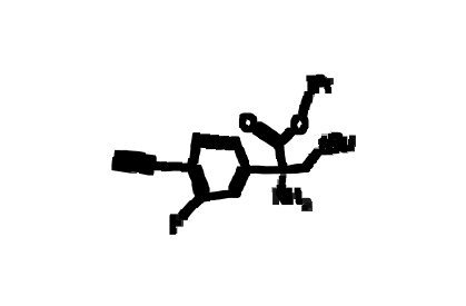 C#Cc1ccc([C@](N)(CC(C)(C)C)C(=O)OC(C)C)cc1F